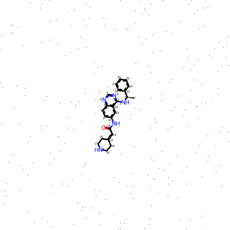 C[C@@H](Nc1ncnc2ccc(NC(=O)C=C3CCNCC3)cc12)c1ccccc1